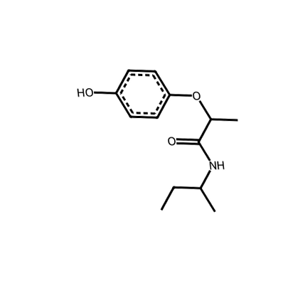 CCC(C)NC(=O)C(C)Oc1ccc(O)cc1